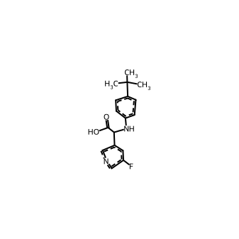 CC(C)(C)c1ccc(NC(C(=O)O)c2cncc(F)c2)cc1